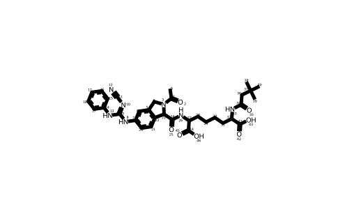 CC(=O)N1Cc2cc(NC(=NC#N)Nc3ccccc3)ccc2C1C(=O)NC(CCCCC(NC(=O)CC(C)(C)C)C(=O)O)C(=O)O